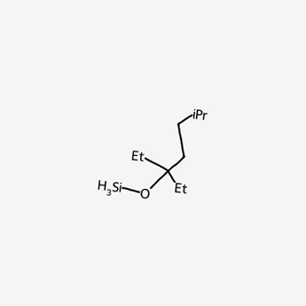 CCC(CC)(CCC(C)C)O[SiH3]